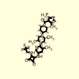 Cc1cc(Nc2c(NCC(F)(F)F)c(=O)c2=O)cnc1N1C[C@@H](C)N(C2CCN(C(=O)c3c(C)noc3C)CC2)C[C@@H]1C